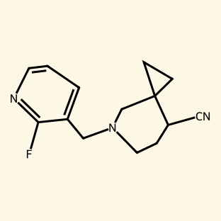 N#CC1CCN(Cc2cccnc2F)CC12CC2